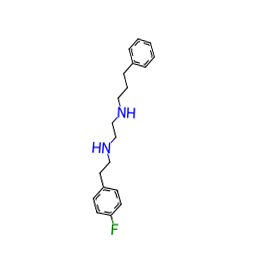 Fc1ccc(CCNCCNCCCc2ccccc2)cc1